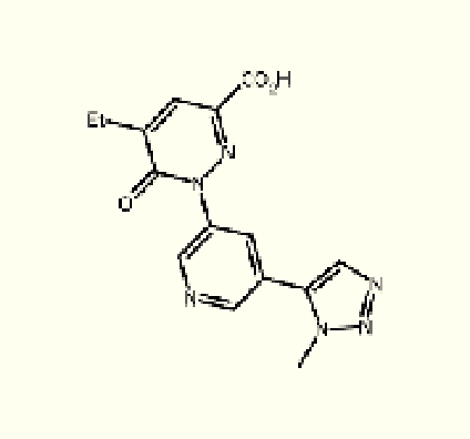 CCc1cc(C(=O)O)nn(-c2cncc(-c3cnnn3C)c2)c1=O